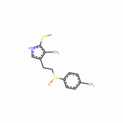 Cc1ccc([S+]([O-])CCc2c[nH]c(SI)c2C)cc1